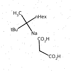 CCCCCC[C](C)([Na])C(C)(C)C.O=C(O)CC(=O)O